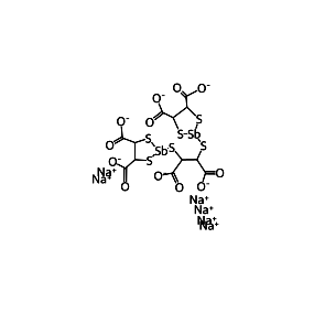 O=C([O-])C1[S][Sb]([S]C(C(=O)[O-])C([S][Sb]2[S]C(C(=O)[O-])C(C(=O)[O-])[S]2)C(=O)[O-])[S]C1C(=O)[O-].[Na+].[Na+].[Na+].[Na+].[Na+].[Na+]